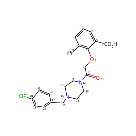 CC(C)c1cccc(C(=O)O)c1OCC(=O)N1CCN(Cc2ccc(Cl)cc2)CC1